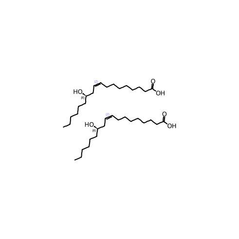 CCCCCC[C@@H](O)C/C=C\CCCCCCCC(=O)O.CCCCCC[C@@H](O)C/C=C\CCCCCCCC(=O)O